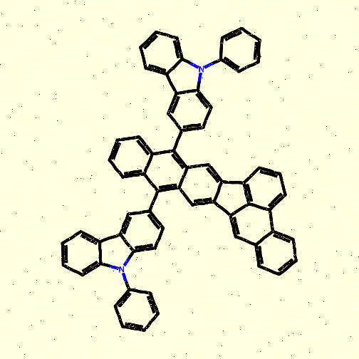 c1ccc(-n2c3ccccc3c3cc(-c4c5ccccc5c(-c5ccc6c(c5)c5ccccc5n6-c5ccccc5)c5cc6c(cc45)-c4cccc5c4c-6cc4ccccc45)ccc32)cc1